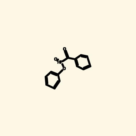 O=C(c1ccccc1)[PH](=O)Oc1ccccc1